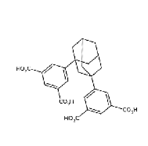 O=C(O)c1cc(C(=O)O)cc(C23CC4CC(C2)CC(c2cc(C(=O)O)cc(C(=O)O)c2)(C4)C3)c1